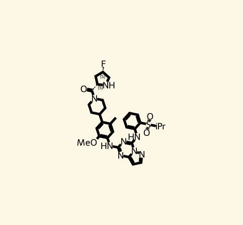 COc1cc(C2CCN(C(=O)[C@@H]3C[C@H](F)CN3)CC2)c(C)cc1Nc1nc(Nc2ccccc2S(=O)(=O)C(C)C)n2nccc2n1